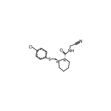 N#CCNC(=O)[C@@H]1CCCC[C@H]1CSc1ccc(Cl)cc1